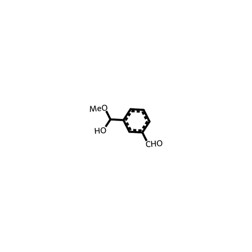 COC(O)c1cccc(C=O)c1